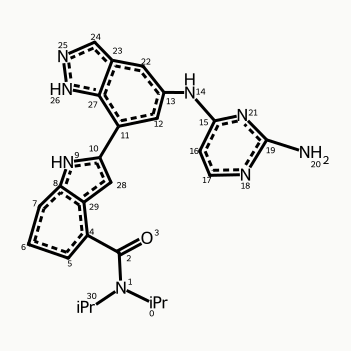 CC(C)N(C(=O)c1cccc2[nH]c(-c3cc(Nc4ccnc(N)n4)cc4cn[nH]c34)cc12)C(C)C